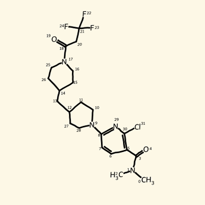 CN(C)C(=O)c1ccc(N2CCC(CC3CCN(C(=O)CC(F)(F)F)CC3)CC2)nc1Cl